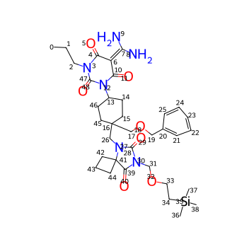 CCCN1C(=O)C(=C(N)N)C(=O)N(C2CCC(COCc3ccccc3)(CN3C(=O)N(COCC[Si](C)(C)C)C(=O)C34CCC4)CC2)C1=O